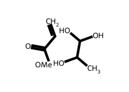 C=CC(=O)OC.CC(O)C(O)O